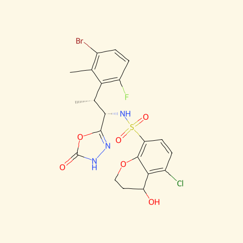 Cc1c(Br)ccc(F)c1[C@@H](C)[C@H](NS(=O)(=O)c1ccc(Cl)c2c1OCCC2O)c1n[nH]c(=O)o1